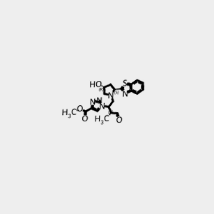 COC(=O)c1cn(C(CN2C[C@H](O)C[C@H]2c2nc3ccccc3s2)[C@H](C)C=O)nn1